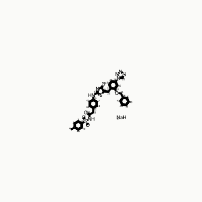 Cc1ccc(S(=O)(=O)NC(=O)Cc2ccc(NC3=NC(=O)/C(=C\c4ccc(-n5cnnn5)cc4OCc4ccccc4)S3)cc2)cc1.[NaH]